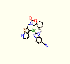 N#Cc1ccc2ncn(C[C@H]3CCC[C@]4(C3)CN(Cc3sc5ncccc5c3Br)C(=O)O4)c2c1